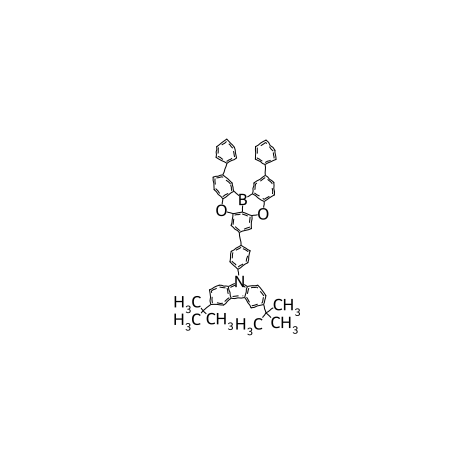 CC(C)(C)c1ccc2c(c1)c1cc(C(C)(C)C)ccc1n2-c1ccc(-c2cc3c4c(c2)Oc2ccc(-c5ccccc5)cc2B4c2cc(-c4ccccc4)ccc2O3)cc1